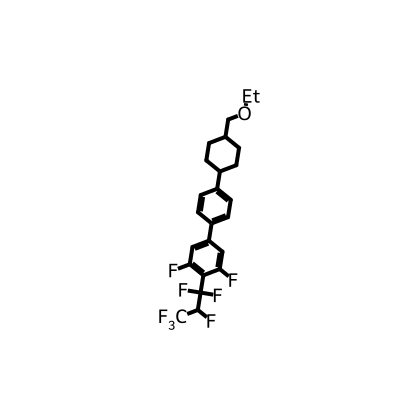 CCOCC1CCC(c2ccc(-c3cc(F)c(C(F)(F)C(F)C(F)(F)F)c(F)c3)cc2)CC1